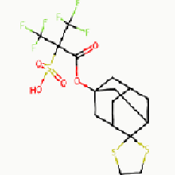 O=C(OC12CC3CC(C1)C1(SCCS1)C(C3)C2)C(C(F)(F)F)(C(F)(F)F)S(=O)(=O)O